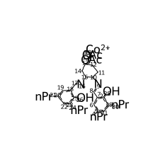 CC(=O)[O-].CC(=O)[O-].CCCc1cc(C=NC2CCCCC2N=Cc2cc(CCC)cc(CCC)c2O)c(O)c(CCC)c1.[Co+2]